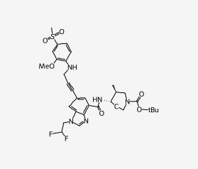 COc1cc(S(C)(=O)=O)ccc1NCC#Cc1cc(C(=O)N[C@H]2CCN(C(=O)OC(C)(C)C)C[C@@H]2C)c2ncn(CC(F)F)c2c1